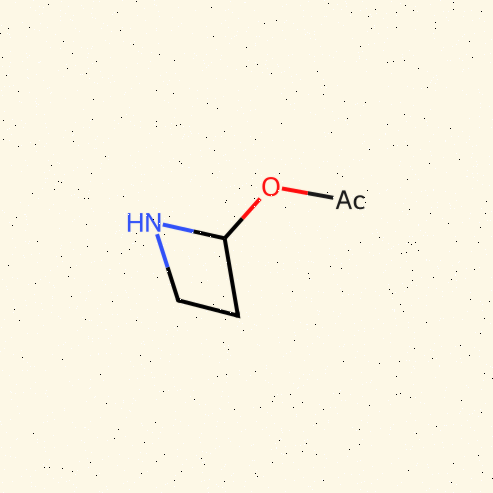 CC(=O)OC1CCN1